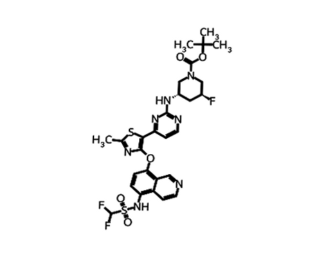 Cc1nc(Oc2ccc(NS(=O)(=O)C(F)F)c3ccncc23)c(-c2ccnc(N[C@H]3C[C@H](F)CN(C(=O)OC(C)(C)C)C3)n2)s1